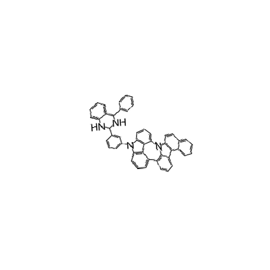 c1ccc(C2NC(c3cccc(-n4c5cccc6c7cccc8c9c%10ccccc%10ccc9n(c9cccc4c9c65)c78)c3)Nc3ccccc32)cc1